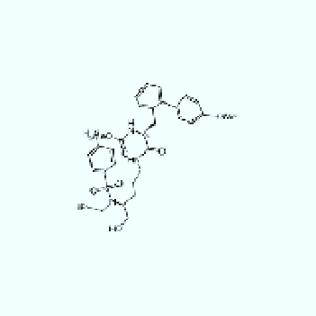 COC(=O)N[C@@H](Cc1ccccc1-c1ccc(OC)cc1)C(=O)NCCCC(CO)N(CC(C)C)S(=O)(=O)c1ccc(N)cc1